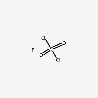 O=S(=O)(Cl)Cl.[P]